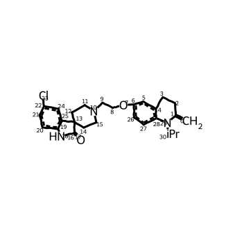 C=C1CCc2cc(OCCN3CCC4(CC3)C(=O)Nc3ccc(Cl)cc34)ccc2N1C(C)C